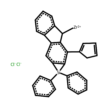 [Cl-].[Cl-].[Zr+2][CH]1c2ccccc2-c2cc3c(c(C4=CC=CC4)c21)[Si]3(c1ccccc1)c1ccccc1